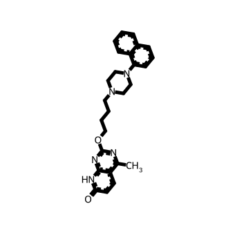 Cc1nc(OCCCCN2CCN(c3cccc4ccccc34)CC2)nc2[nH]c(=O)ccc12